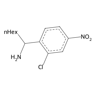 CCCCCCC(N)c1ccc([N+](=O)[O-])cc1Cl